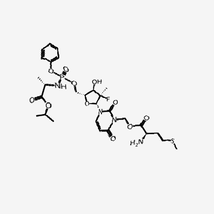 CSCC[C@@H](N)C(=O)OCn1c(=O)ccn([C@@H]2O[C@H](COP(=O)(N[C@@H](C)C(=O)OC(C)C)Oc3ccccc3)[C@@H](O)[C@@]2(C)F)c1=O